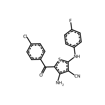 N#Cc1c(Nc2ccc(F)cc2)sc(C(=O)c2ccc(Cl)cc2)c1N